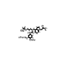 CCCCCOc1cc(NC(=O)N(CCCO[Si](C)(C)C(C)(C)C)Cc2cncc3c2ccn3CC(=O)N(C)C)ccc1OC